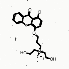 C[N+](CCO)(CCO)CCCOc1ccc(Cl)c2c(=O)c3ccccc3sc12.[I-]